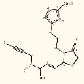 CCC#CC[C@@H](C)[C@H](O)C=CC1CCC(=O)N1CCCc1ccc(C(=O)O)s1